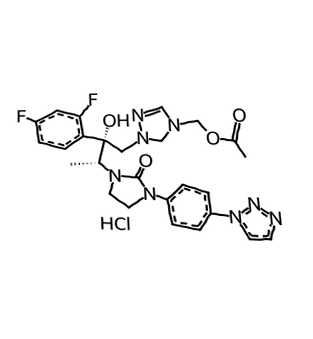 CC(=O)OCN1C=NN(C[C@](O)(c2ccc(F)cc2F)[C@@H](C)N2CCN(c3ccc(-n4ccnn4)cc3)C2=O)C1.Cl